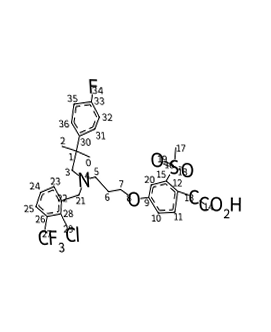 CC(C)(CN(CCCOc1ccc(CC(=O)O)c(S(C)(=O)=O)c1)Cc1cccc(C(F)(F)F)c1Cl)c1ccc(F)cc1